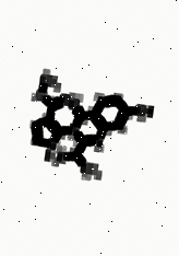 COC(=O)c1ccsc1-n1c(C(C)C)nc2cc(O)ccc2c1=O